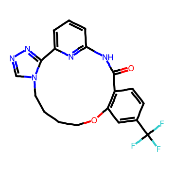 O=C1Nc2cccc(n2)-c2nncn2CCCCOc2cc(C(F)(F)F)ccc21